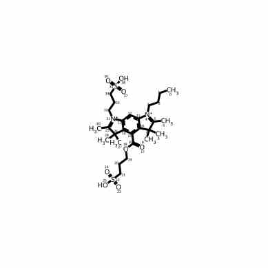 CCCC[N+]1=C(C)C(C)(C)c2c1cc1c(c2C(=O)OCCCS(=O)(=O)O)C(C)(C)C(C)=[N+]1CCCS(=O)(=O)O